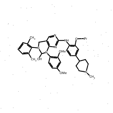 COc1ccc(N2c3nc(Nc4ccc(C5CCN(C)CC5)cc4OC(C)C)ncc3CN(c3c(C)cccc3C)C2O)c(OC)c1